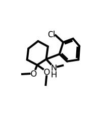 CNC1(c2ccccc2Cl)CCCCC1(OC)OC